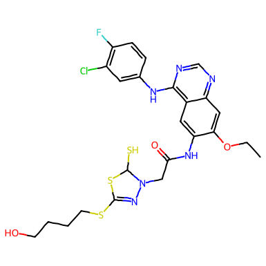 CCOc1cc2ncnc(Nc3ccc(F)c(Cl)c3)c2cc1NC(=O)CN1N=C(SCCCCO)SC1S